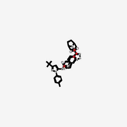 Cc1ccc(-n2nc(C(C)(C)C)cc2NC(=O)Nc2ccc(CC3CC4CCC(C3)N4S(=O)(=O)c3nsnc3Cc3ccccc3)cc2)cc1